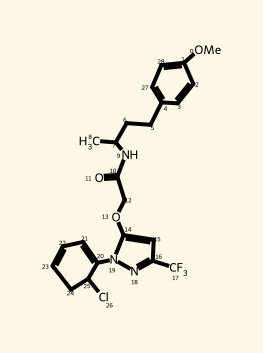 COc1ccc(CCC(C)NC(=O)COc2cc(C(F)(F)F)nn2C2=CC=CCC2Cl)cc1